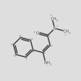 CN(C)C(=O)/C=C(/N)c1ccccc1